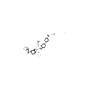 COc1cc(C(=O)N2CC3CCC2C3N)cc2nc(-c3cc4ccc(-c5ccc(C(=O)NCCC(=O)O)cc5)cc4n3CC3CC3)n(C)c12